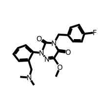 COc1nn(-c2ccccc2CN(C)C)c(=O)n(Cc2ccc(F)cc2)c1=O